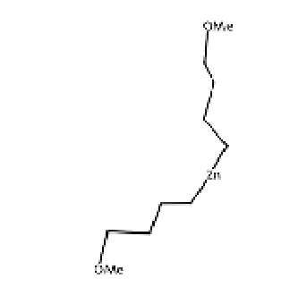 COCCC[CH2][Zn][CH2]CCCOC